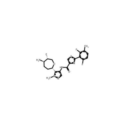 Cc1ccc(F)c(-c2nc(C(=O)Nc3cnn(C)c3[C@@H]3CC[C@@H](N)[C@H](F)CO3)cs2)c1F